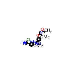 C=CC(=O)N1CC(Oc2cc3c(Nc4cc(-c5cn[nH]c5Cl)ccc4OC)ncnc3cc2OC)C1